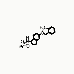 CC(C)S(=O)(=O)NC1CCc2cc(OCc3ccccc3C(F)(F)F)ccc21